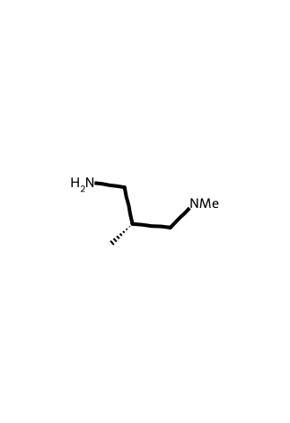 CNC[C@H](C)CN